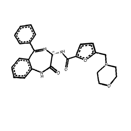 O=C(N[C@H]1N=C(c2ccccc2)c2ccccc2NC1=O)c1ccc(CN2CCOCC2)o1